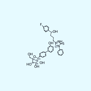 OC[C@H]1O[C@@H](c2ccc(-c3ccc([C@@H]4[C@@H](CCCC(O)c5ccc(F)cc5)NC(=S)N4c4ccccc4)c(O)c3)cc2)[C@H](O)[C@@H](O)[C@@H]1O